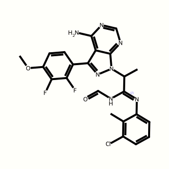 COc1ccc(-c2nn(C(C)/C(=N/c3cccc(Cl)c3C)NC=O)c3ncnc(N)c23)c(F)c1F